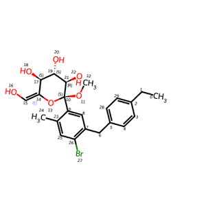 CCc1ccc(Cc2cc([C@]3(OC)O/C(=C/O)[C@@H](O)[C@H](O)[C@H]3O)c(C)cc2Br)cc1